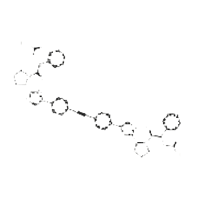 O=C(O)N[C@@H](C(=O)N1CCC[C@H]1c1nc(-c2ccc(C#Cc3ccc(-c4c[nH]c([C@@H]5CCCN5C(=O)[C@H](NC(=O)O)c5ccccc5)n4)cc3)cc2)c[nH]1)c1ccccc1